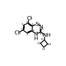 Clc1cc(Cl)c2c(c1)NC(NC1CCC1)=NS2